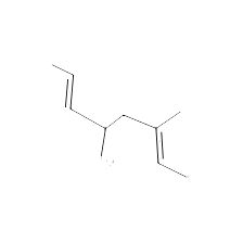 [CH2]CC=CC(CC(C)=CC[CH2])SC